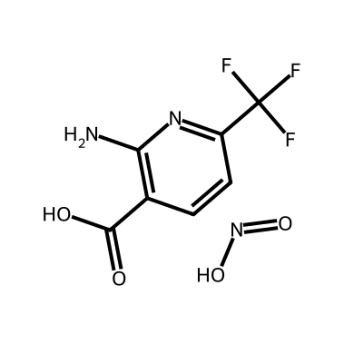 Nc1nc(C(F)(F)F)ccc1C(=O)O.O=NO